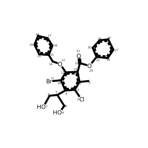 Cc1c(Cl)c(C(CO)CO)c(Br)c(OCc2ccccc2)c1C(=O)Oc1ccccc1